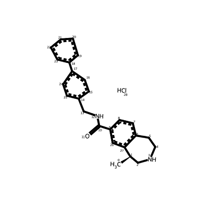 C[C@@H]1CNCCc2ccc(C(=O)NCc3ccc(-c4ccccc4)cc3)cc21.Cl